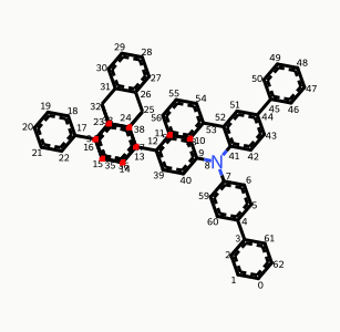 c1ccc(-c2ccc(N(c3ccc(-c4ccc(-c5ccccc5)c5c4C4c6ccccc6C5c5ccccc54)cc3)c3ccc(-c4ccccc4)cc3-c3ccccc3)cc2)cc1